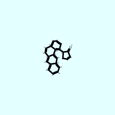 O=C1C=CCC1c1cccc2ccc3cc4ccccc4cc3c12